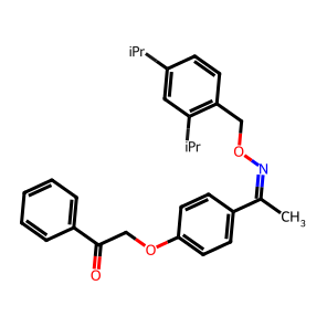 CC(=NOCc1ccc(C(C)C)cc1C(C)C)c1ccc(OCC(=O)c2ccccc2)cc1